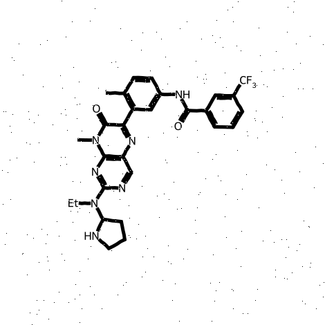 CCN(c1ncc2nc(-c3cc(NC(=O)c4cccc(C(F)(F)F)c4)ccc3C)c(=O)n(C)c2n1)C1CCCN1